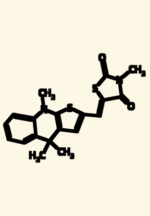 CN1C(=O)S/C(=C\c2cc3c(s2)N(C)c2ccccc2C3(C)C)C1=O